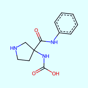 O=C(O)NC1(C(=O)Nc2ccccc2)CCNC1